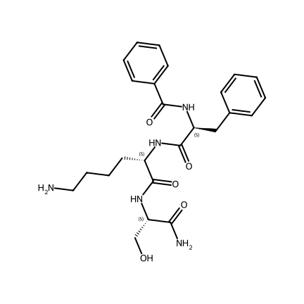 NCCCC[C@H](NC(=O)[C@H](Cc1ccccc1)NC(=O)c1ccccc1)C(=O)N[C@@H](CO)C(N)=O